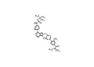 Cc1cc(C(=O)N(C)C)cnc1C1=CCN(Cc2cc3c(-c4ccc(NC(=O)OC(C)(C)C)nn4)ccnc3n2C)CC1